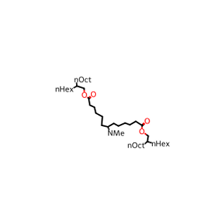 CCCCCCCCC(CCCCCC)COC(=O)CCCCCC(CCCCCC(=O)OCC(CCCCCC)CCCCCCCC)NC